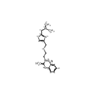 C=C(NCCSCc1csc(CN(C)C)n1)Oc1ccccc1[N+](=O)[O-]